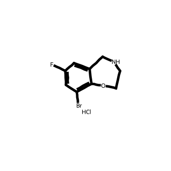 Cl.Fc1cc(Br)c2c(c1)CNCCO2